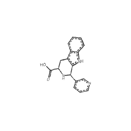 O=C(O)C1Cc2c([nH]c3ccccc23)C(c2cccnc2)N1